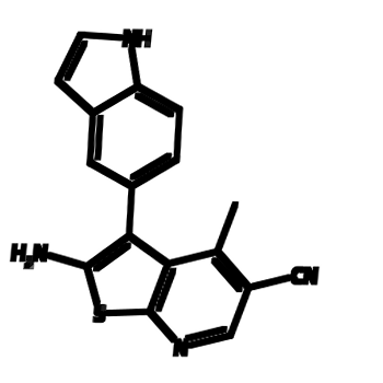 Cc1c(C#N)cnc2sc(N)c(-c3ccc4[nH]ccc4c3)c12